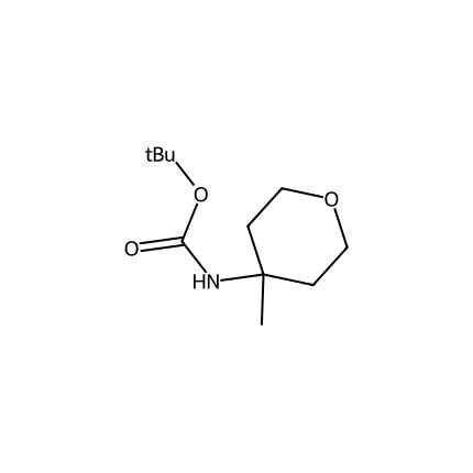 CC1(NC(=O)OC(C)(C)C)CCOCC1